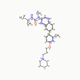 Cc1nc(OCCCN2CCCCC2)ccc1-c1ccc2ncc(N(C)C(=O)NC(C)C)nc2c1